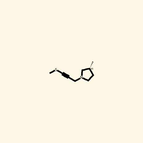 CSC#CCN1CC[C@@H](C)C1